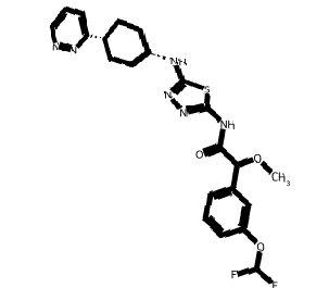 COC(C(=O)Nc1nnc(N[C@H]2CC[C@@H](c3cccnn3)CC2)s1)c1cccc(OC(F)F)c1